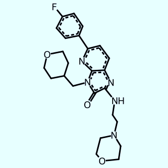 O=c1c(NCCN2CCOCC2)nc2ccc(-c3ccc(F)cc3)nc2n1CC1CCOCC1